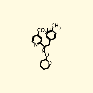 Cc1ccc(C/C(=N\OC2CCCCO2)c2cc(C(=O)O)ccn2)cc1